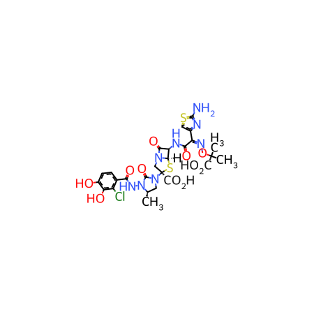 C[C@@H]1CN([C@]2(C(=O)O)CN3C(=O)[C@@H](NC(=O)/C(=N\OC(C)(C)C(=O)O)c4csc(N)n4)[C@H]3S2)C(=O)N1NC(=O)c1ccc(O)c(O)c1Cl